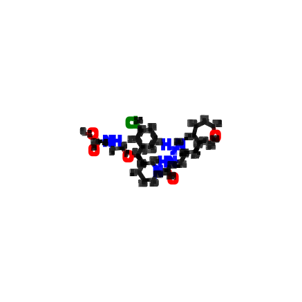 COC(=O)NCCOC(c1cccc(Cl)c1)[C@@H]1CCCN(C(=O)NC[C@H](N)C[C@H]2CCCCOC2)C1